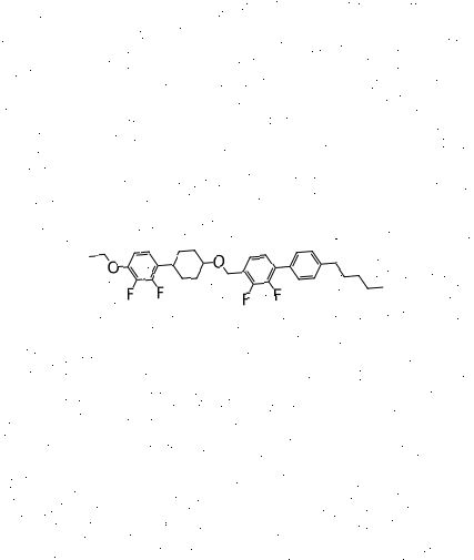 CCCCCc1ccc(-c2ccc(COC3CCC(c4ccc(OCC)c(F)c4F)CC3)c(F)c2F)cc1